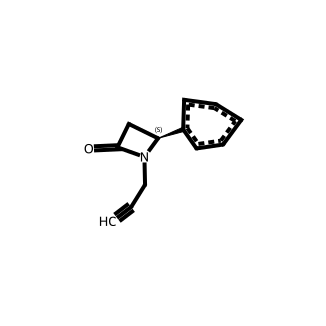 C#CCN1C(=O)C[C@H]1c1ccccc1